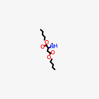 CCCCCOC(=O)CC(NC)C(=O)OCCCCC